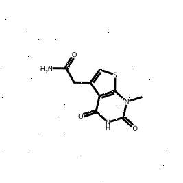 Cn1c(=O)[nH]c(=O)c2c(CC(N)=O)csc21